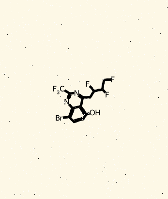 Oc1ccc(Br)c2nc(C(F)(F)F)nc(CC(F)C(F)CF)c12